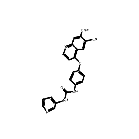 COc1cc2nccc(Oc3ccc(NC(=O)Nc4cccnc4)cc3)c2cc1C#N